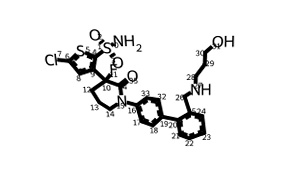 NS(=O)(=O)c1sc(Cl)cc1C1(F)CCCN(c2ccc(-c3ccccc3CNCCCO)cc2)C1=O